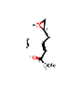 CC.COC(=O)C=CCC1CO1